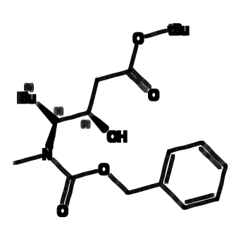 CC[C@H](C)[C@@H]([C@H](O)CC(=O)OC(C)(C)C)N(C)C(=O)OCc1ccccc1